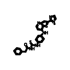 Cn1ccnc1-c1cc2nccc(Nc3ccc(NC(=S)NC(=O)Cc4ccccc4)cc3)c2s1